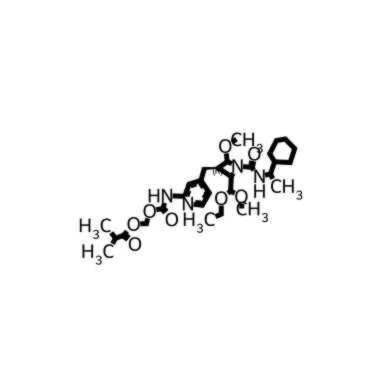 CCOC(OC)C1[C@@H](Cc2ccnc(NC(=O)OCOC(=O)C(C)C)c2)C(OC)N1C(=O)NC(C)C1CCCCC1